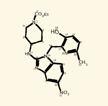 CCOC(=O)N1CCC(Nc2nc3cc([N+](=O)[O-])ccc3n2Cc2nc(C)ccc2O)CC1